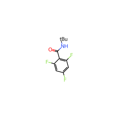 CC(C)(C)NC(=O)c1c(F)cc(F)cc1F